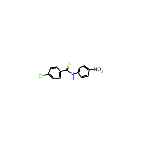 O=[N+]([O-])c1ccc(NC(=S)c2ccc(Cl)cc2)cc1